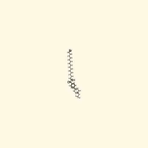 CC(C)CN1CCN(c2ccc(C(=O)NCCCCCCCCCCCCCCCBr)cn2)CC1